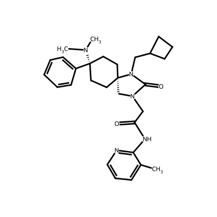 Cc1cccnc1NC(=O)CN1C[C@]2(CC[C@@](c3ccccc3)(N(C)C)CC2)N(CC2CCC2)C1=O